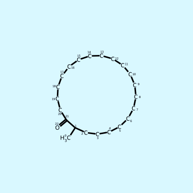 CC1CCCCCCCCCCCCCCCCCCCC1=O